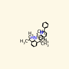 CC[Si](CC)(Nc1c(C(C)C)cccc1C(C)C)c1cccc(-c2ccccc2)n1